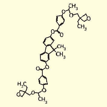 CCC1(COC(C)Oc2ccc(C(=O)Oc3ccc4c(c3)C(C)(C)c3cc(OC(=O)c5ccc(OC(C)OCC6(CC)COC6)cc5)ccc3-4)cc2)COC1